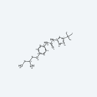 CC(C)(C)c1cc(NC(=O)Nc2ccc(OCC(O)CO)cc2)no1